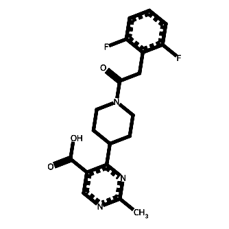 Cc1ncc(C(=O)O)c(C2CCN(C(=O)Cc3c(F)cccc3F)CC2)n1